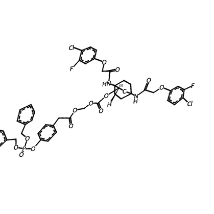 O=C(COc1ccc(Cl)c(F)c1)NC12CCC(NC(=O)COc3ccc(Cl)c(F)c3)(CC1)[C@@H](OC(=O)OCOC(=O)Cc1ccc(OP(=O)(OCc3ccccc3)OCc3ccccc3)cc1)C2